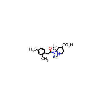 CC(=O)N1CCC(C(=O)O)CC1(C)NC(=O)Cc1ccc(C)cc1C